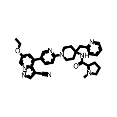 CCOc1cc(-c2ccc(N3CCC(Cc4ccccn4)(NC(=O)C4CCCN4C)CC3)nc2)c2c(C#N)cnn2c1